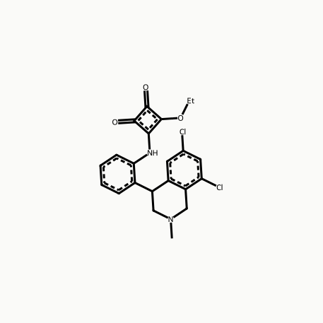 CCOc1c(Nc2ccccc2C2CN(C)Cc3c(Cl)cc(Cl)cc32)c(=O)c1=O